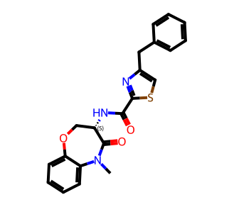 CN1C(=O)[C@@H](NC(=O)c2nc(Cc3ccccc3)cs2)COc2ccccc21